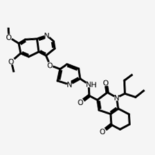 CCC(CC)n1c2c(cc(C(=O)Nc3ccc(Oc4ccnc5cc(OC)c(OC)cc45)cn3)c1=O)C(=O)CCC2